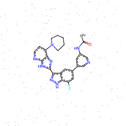 CCCC(=O)Nc1cncc(-c2cc(F)c3[nH]nc(-c4nc5c(N6CCCCC6)ccnc5[nH]4)c3c2)c1